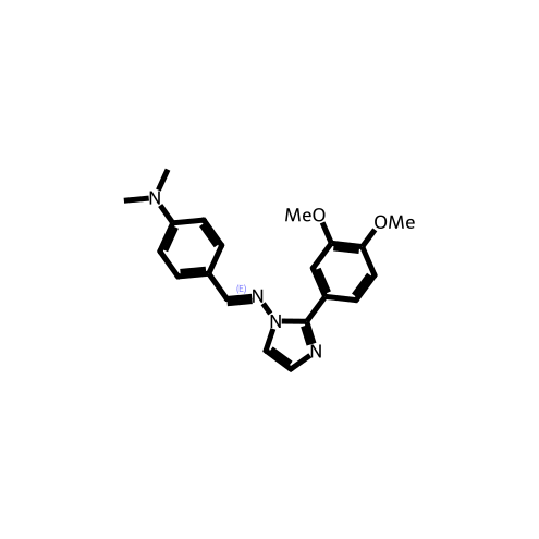 COc1ccc(-c2nccn2/N=C/c2ccc(N(C)C)cc2)cc1OC